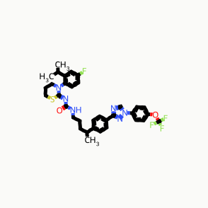 CC(C)c1cc(F)ccc1N1CCCS/C1=N\C(=O)NCCCC(C)c1ccc(-c2ncn(-c3ccc(OC(F)(F)F)cc3)n2)cc1